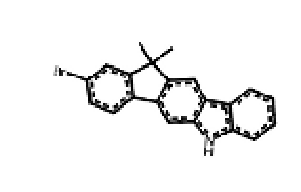 CC1(C)c2cc(Br)ccc2-c2cc3[nH]c4ccccc4c3cc21